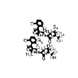 Cc1onc(-c2c(Cl)cccc2Cl)c1C(=O)N[C@@H]1C(=O)N2[C@@H]1SC(C)(C)[C@@H]2C(=O)O.Cc1onc(-c2c(F)cccc2Cl)c1C(=O)N[C@@H]1C(=O)N2[C@@H]1SC(C)(C)[C@@H]2C(=O)O